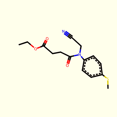 CCOC(=O)CCC(=O)N(CC#N)c1ccc(SC)cc1